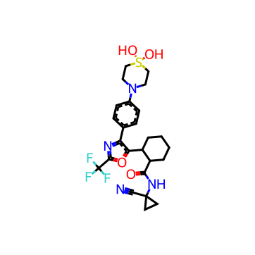 N#CC1(NC(=O)C2CCCCC2c2oc(C(F)(F)F)nc2-c2ccc(N3CCS(O)(O)CC3)cc2)CC1